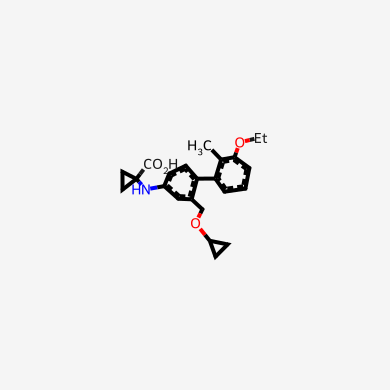 CCOc1cccc(-c2ccc(NC3(C(=O)O)CC3)cc2COC2CC2)c1C